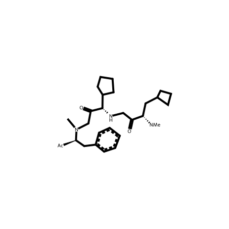 CN[C@@H](CC1CCC1)C(=O)CN[C@H](C(=O)CN(C)[C@@H](Cc1ccccc1)C(C)=O)C1CCCC1